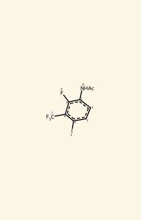 CC(=O)Nc1ccc(I)c(C(F)(F)F)c1F